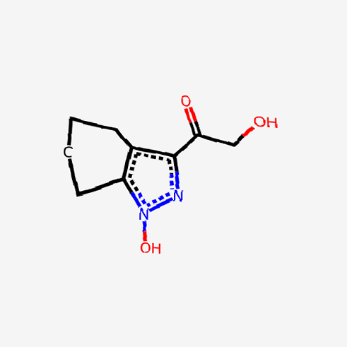 O=C(CO)c1nn(O)c2c1CCCC2